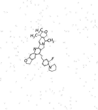 C=C1OCC2=C(C=C3c4nc5cc6c(cc5c(CCc5ccc(N7CCCCC7)c(F)c5)c4CN3C2=C)CCO6)C1C